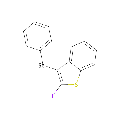 Ic1sc2ccccc2c1[Se]c1ccccc1